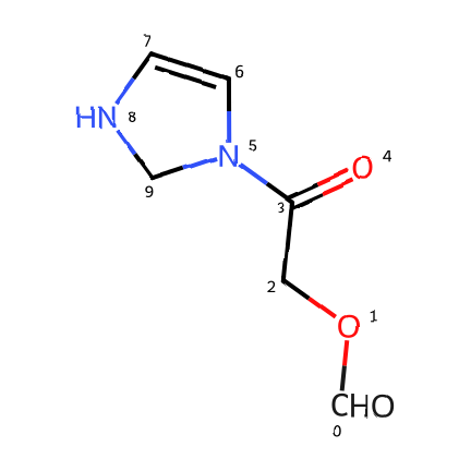 O=COCC(=O)N1C=CNC1